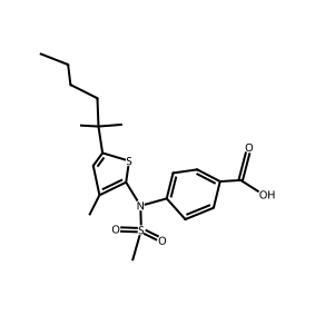 CCCCC(C)(C)c1cc(C)c(N(c2ccc(C(=O)O)cc2)S(C)(=O)=O)s1